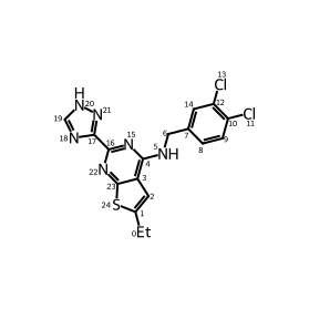 CCc1cc2c(NCc3ccc(Cl)c(Cl)c3)nc(-c3nc[nH]n3)nc2s1